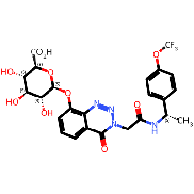 C[C@H](NC(=O)Cn1nnc2c(O[C@@H]3O[C@H](C(=O)O)[C@@H](O)[C@H](O)[C@H]3O)cccc2c1=O)c1ccc(OC(F)(F)F)cc1